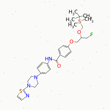 CC(C)(C)S(C)(C)COC(CF)COc1ccc(C(=O)Nc2ccc(N3CCN(c4nccs4)CC3)cc2)cc1